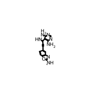 CNc1nc2cc(C#CC(=N)c3c(N)ncnc3N)ccc2o1